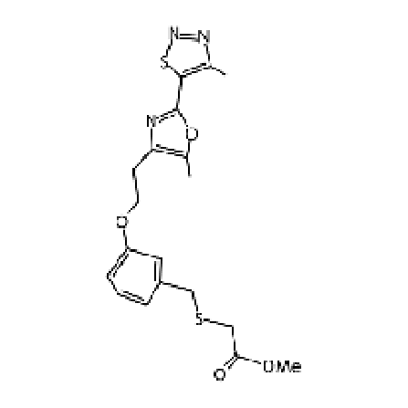 COC(=O)CSCc1cccc(OCCc2nc(-c3snnc3C)oc2C)c1